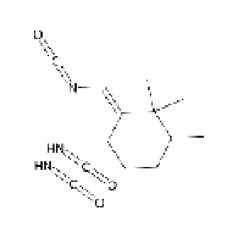 CC1CCCC(=CN=C=O)C1(C)C.N=C=O.N=C=O